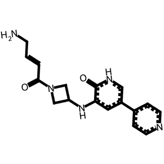 NCC=CC(=O)N1CC(Nc2cc(-c3ccncc3)c[nH]c2=O)C1